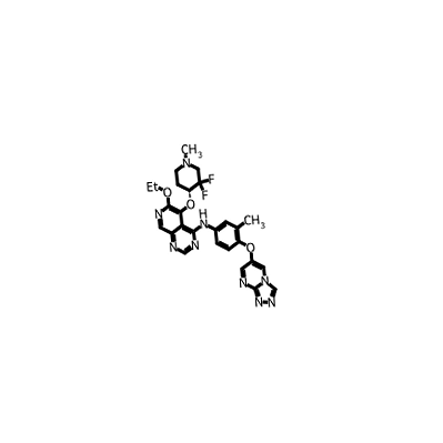 CCOc1ncc2ncnc(Nc3ccc(Oc4cnc5nncn5c4)c(C)c3)c2c1O[C@@H]1CCN(C)CC1(F)F